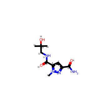 Cn1nc(C(N)=O)[c]c1C(=O)NCC(C)(C)O